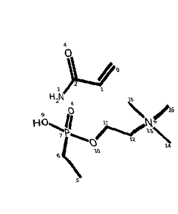 C=CC(N)=O.CCP(=O)(O)OCC[N+](C)(C)C